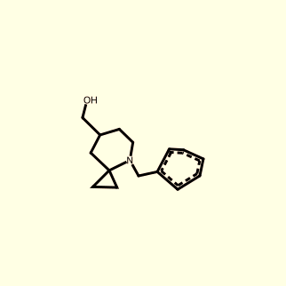 OCC1CCN(Cc2ccccc2)C2(CC2)C1